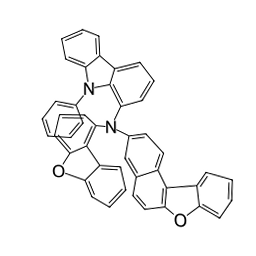 c1ccc(-n2c3ccccc3c3cccc(N(c4ccc5c(ccc6oc7ccccc7c65)c4)c4cccc5oc6ccccc6c45)c32)cc1